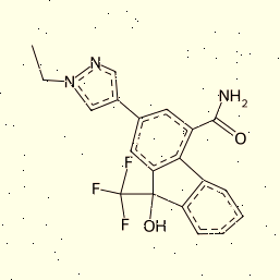 CCn1cc(-c2cc(C(N)=O)c3c(c2)C(O)(C(F)(F)F)c2ccccc2-3)cn1